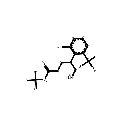 CC(C)(C)OC(=O)CCC(CN)c1c(F)cccc1C(F)(F)F